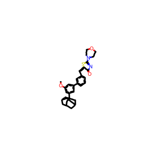 COc1cc(-c2cccc(C=C3SC(N4CCOCC4)=NC3=O)c2)cc(C23CC4CC(CC(C4)C2)C3)c1